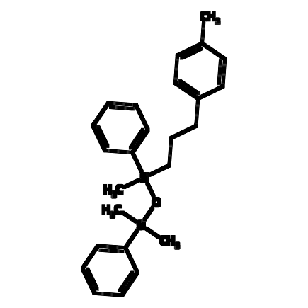 Cc1ccc(CCC[Si](C)(O[Si](C)(C)c2ccccc2)c2ccccc2)cc1